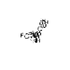 [2H]C1([2H])Oc2ccc(OC([2H])([2H])[C@@]3([2H])C([2H])([2H])NCCC3([2H])c3ccc(F)cc3)cc2O1